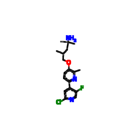 Cc1nc(-c2cc(Cl)ncc2F)ccc1OCC(C)CC(C)(C)N